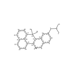 CC(C)Cc1ccc2cnc3c(c2c1)C(C)(C)c1cccc2cccc-3c12